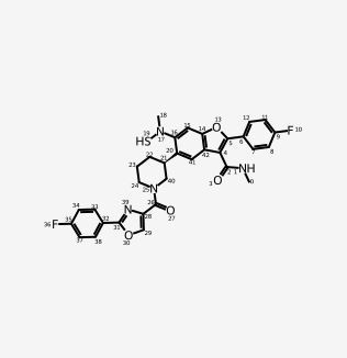 CNC(=O)c1c(-c2ccc(F)cc2)oc2cc(N(C)S)c([C@@H]3CCCN(C(=O)c4coc(-c5ccc(F)cc5)n4)C3)cc12